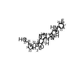 COc1cc2c(Nc3cc(CC(=O)Nc4cccc(F)c4)[nH]n3)ncnc2cc1OC[C@H]1CCCN1CCO